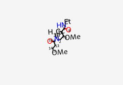 CCCN(CC(OC)C(C)C(=O)NCC)C(=O)CCOC